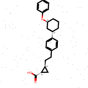 O=C(O)[C@H]1C[C@@H]1CCc1ccc([C@H]2CCC[C@H](Oc3ccccc3)C2)cc1